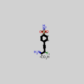 N[C@@H](C(=O)O)[C@H](F)C#Cc1ccc(S(N)(=O)=O)cc1